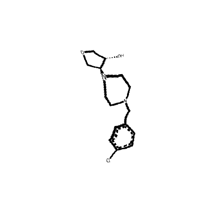 O[C@H]1COC[C@@H]1N1CCN(Cc2ccc(Cl)cc2)CC1